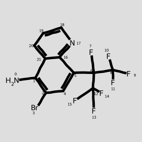 Nc1c(Br)cc(C(F)(C(F)(F)F)C(F)(F)F)c2ncccc12